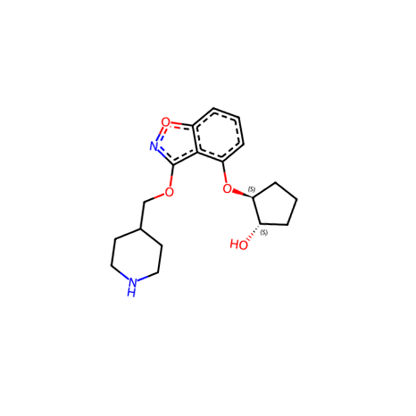 O[C@H]1CCC[C@@H]1Oc1cccc2onc(OCC3CCNCC3)c12